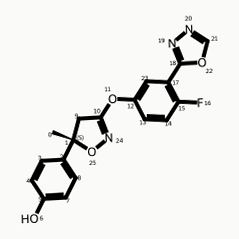 C[C@@]1(c2ccc(O)cc2)CC(Oc2ccc(F)c(-c3nnco3)c2)=NO1